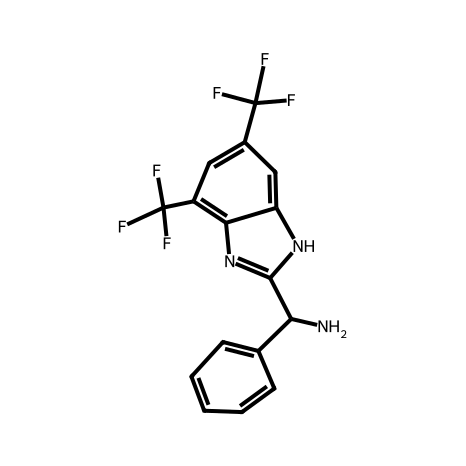 NC(c1ccccc1)c1nc2c(C(F)(F)F)cc(C(F)(F)F)cc2[nH]1